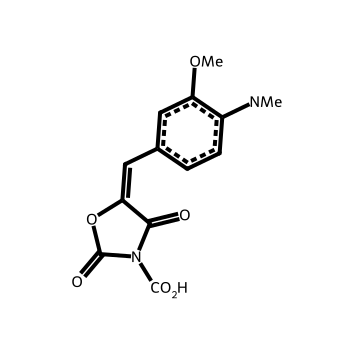 CNc1ccc(/C=C2/OC(=O)N(C(=O)O)C2=O)cc1OC